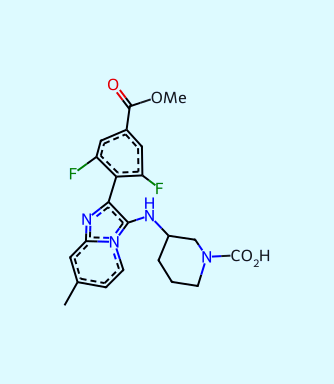 COC(=O)c1cc(F)c(-c2nc3cc(C)ccn3c2NC2CCCN(C(=O)O)C2)c(F)c1